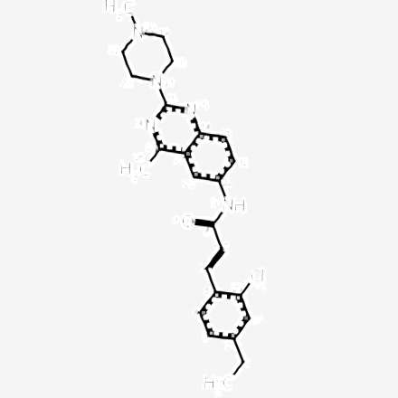 CCc1ccc(C=CC(=O)Nc2ccc3nc(N4CCN(C)CC4)nc(C)c3c2)c(Cl)c1